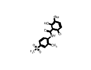 Cc1cc(S(=O)(=O)C(F)(F)F)ccc1NC(=O)c1c(Cl)ccc(C(C)(C)C)c1O